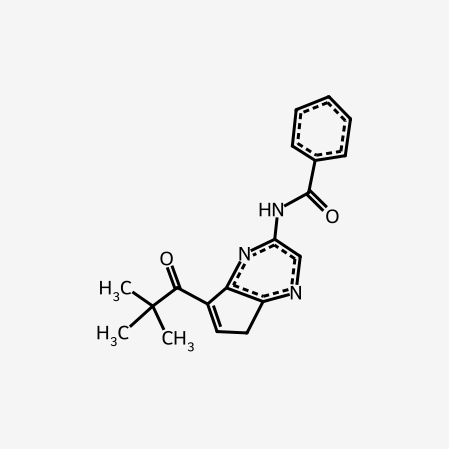 CC(C)(C)C(=O)C1=CCc2ncc(NC(=O)c3ccccc3)nc21